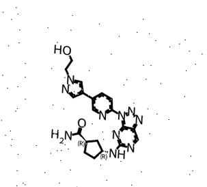 NC(=O)[C@@H]1CC[C@@H](Nc2ncc3nnn(-c4ccc(-c5cnn(CCO)c5)cn4)c3n2)C1